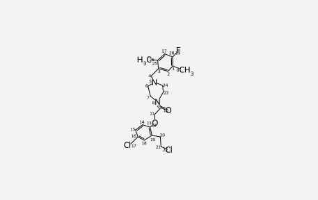 Cc1cc(CN2CCN(C(=O)COc3ccc(Cl)cc3CCCl)CC2)c(C)cc1F